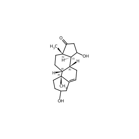 C[C@]12CCC(O)CC1=CC[C@@H]1[C@H]2CC[C@]2(C)C(=O)CC(O)[C@@H]12